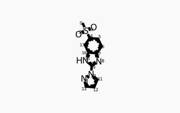 CS(=O)(=O)c1ccc2nc(-n3cccn3)[nH]c2c1